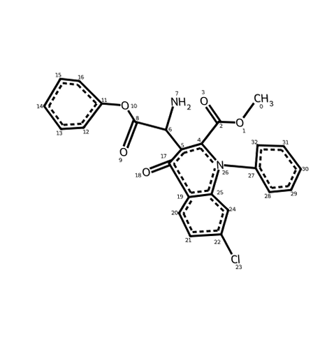 COC(=O)c1c(C(N)C(=O)Oc2ccccc2)c(=O)c2ccc(Cl)cc2n1-c1ccccc1